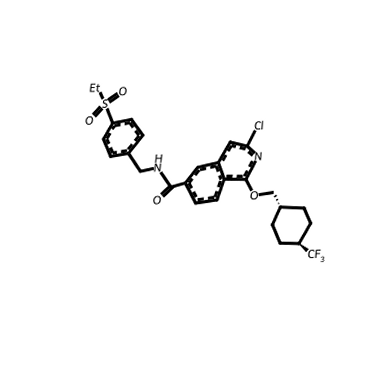 CCS(=O)(=O)c1ccc(CNC(=O)c2ccc3c(OC[C@H]4CC[C@H](C(F)(F)F)CC4)nc(Cl)cc3c2)cc1